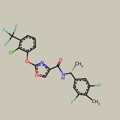 Cc1c(F)cc([C@@H](C)NC(=O)c2coc(Oc3cccc(C(F)(F)F)c3Cl)n2)cc1F